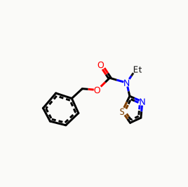 CCN(C(=O)OCc1ccccc1)c1nccs1